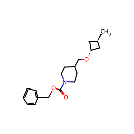 C[C@H]1C[C@H](OCC2CCN(C(=O)OCc3ccccc3)CC2)C1